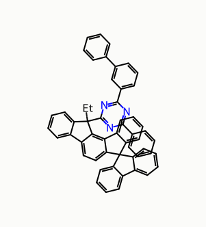 CCC1(c2nc(-c3ccccc3)nc(-c3cccc(-c4ccccc4)c3)n2)c2ccccc2-c2ccc3c(c21)-c1ccccc1C31c2ccccc2-c2ccccc21